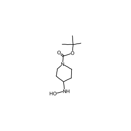 CC(C)(C)OC(=O)N1CCC(NO)CC1